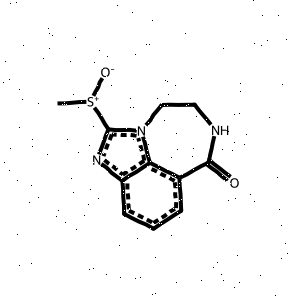 C[S+]([O-])c1nc2cccc3c2n1CCNC3=O